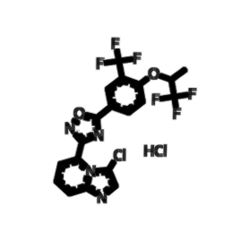 CC(Oc1ccc(-c2nc(-c3cccc4ncc(Cl)n34)no2)cc1C(F)(F)F)C(F)(F)F.Cl